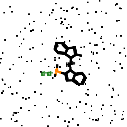 CC1=Cc2ccccc2[CH]1[Hf+2][CH]1C(P(C)C)=Cc2ccccc21.[Cl-].[Cl-]